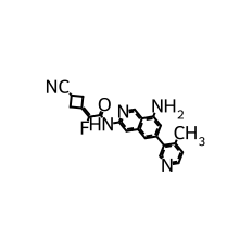 Cc1ccncc1-c1cc(N)c2cnc(NC(=O)C(F)=C3CC(C#N)C3)cc2c1